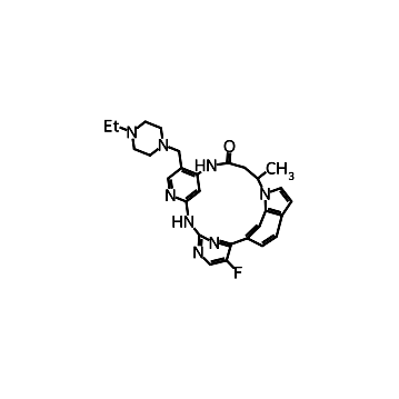 CCN1CCN(Cc2cnc3cc2NC(=O)CC(C)n2ccc4ccc(cc42)-c2nc(ncc2F)N3)CC1